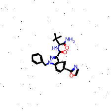 CC(C)(C)C(NC(=O)c1nn(Cc2ccccc2)c2ccc(-c3ncco3)cc12)C(N)=O